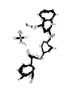 CS(=O)(=O)O.Cc1cc(NC2CCC(NC(=O)c3ccc(F)c(F)c3)CC2)nc2ccccc12